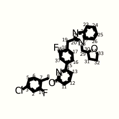 Fc1cc(Cl)ccc1COc1cccc(-c2ccc(Cc3nc4ccccc4n3CC3CCCO3)c(F)c2)n1